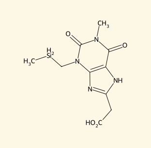 C[SiH2]Cn1c(=O)n(C)c(=O)c2[nH]c(CC(=O)O)nc21